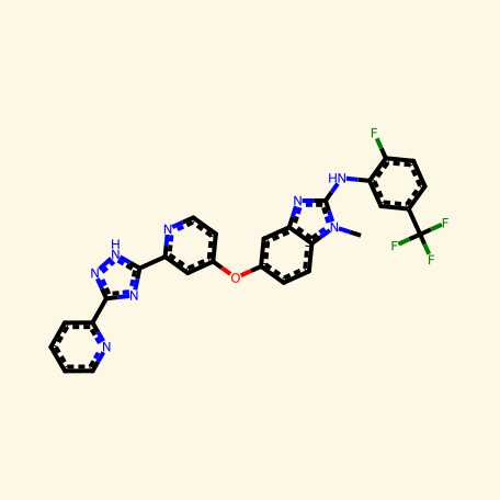 Cn1c(Nc2cc(C(F)(F)F)ccc2F)nc2cc(Oc3ccnc(-c4nc(-c5ccccn5)n[nH]4)c3)ccc21